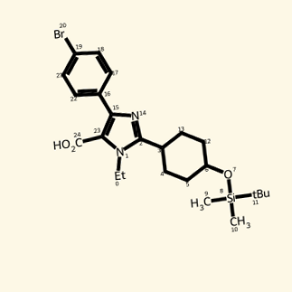 CCn1c(C2CCC(O[Si](C)(C)C(C)(C)C)CC2)nc(-c2ccc(Br)cc2)c1C(=O)O